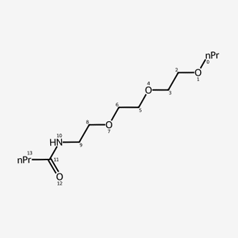 CCCOCCOCCOCCNC(=O)CCC